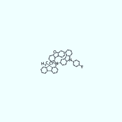 CC1(C)c2ccccc2-c2cccc(N(c3ccc4c(c3)c3ccccc3n4-c3ccc(F)cc3)c3cccc4oc5ccccc5c34)c21